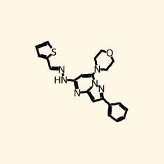 C(=NNc1cc(N2CCOCC2)n2nc(-c3ccccc3)cc2n1)c1cccs1